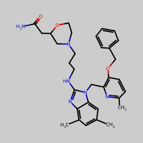 Cc1cc(C)c2nc(NCCCN3CCOC(CC(N)=O)C3)n(Cc3nc(C)ccc3OCc3ccccc3)c2c1